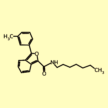 CCCCCCCNC(=O)c1oc(-c2cccc(C)c2)c2ccccc12